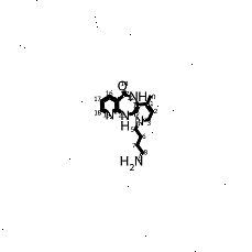 CC1=CCN(CCCCN)C2=C1NC(=O)c1cccnc1N2